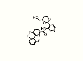 O=C(Nc1cnccc1[C@@H]1OCC[C@H](CO)O1)c1ccc(F)c(-c2c(F)cccc2F)n1